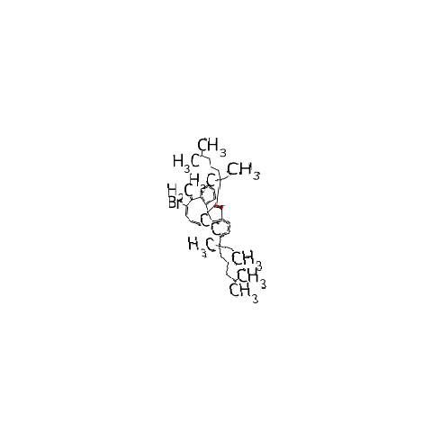 C=C1/C(Br)=C\C=C/CC2(c3ccccc31)c1cc(C(C)(CC)CCCC(C)C)ccc1-c1ccc(C(C)(CC)CCCC(C)C)cc12